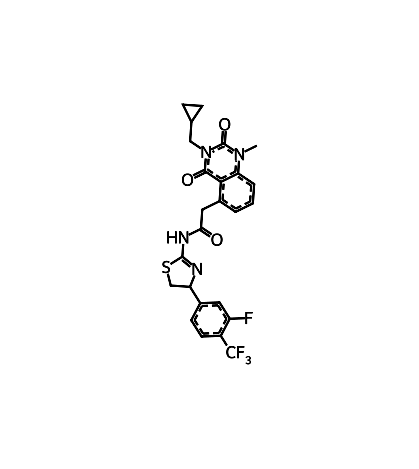 Cn1c(=O)n(CC2CC2)c(=O)c2c(CC(=O)NC3=NC(c4ccc(C(F)(F)F)c(F)c4)CS3)cccc21